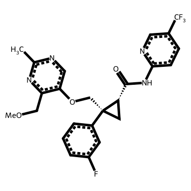 COCc1nc(C)ncc1OC[C@@]1(c2cccc(F)c2)C[C@H]1C(=O)Nc1ccc(C(F)(F)F)cn1